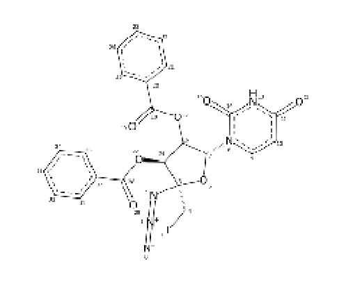 [N-]=[N+]=N[C@]1(CI)O[C@@H](n2ccc(=O)[nH]c2=O)C(OC(=O)c2ccccc2)[C@@H]1OC(=O)c1ccccc1